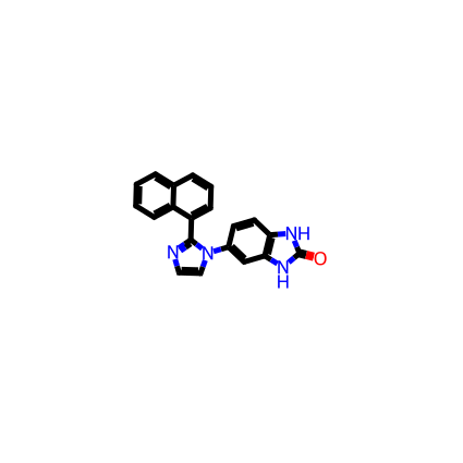 O=c1[nH]c2ccc(-n3ccnc3-c3cccc4ccccc34)cc2[nH]1